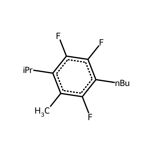 CCCCc1c(F)c(C)c(C(C)C)c(F)c1F